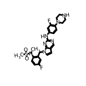 CN(c1ccc(F)cc1Cn1ccc2cnc(Nc3ccc(N4CCNCC4)c(F)c3)nc21)S(C)(=O)=O